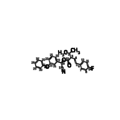 CC(C)C(C=Cc1ccc(F)cc1)C(=O)OC(C#N)c1cccc(Oc2ccccc2)c1